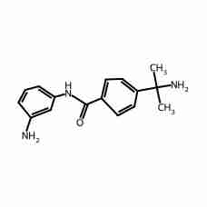 CC(C)(N)c1ccc(C(=O)Nc2cccc(N)c2)cc1